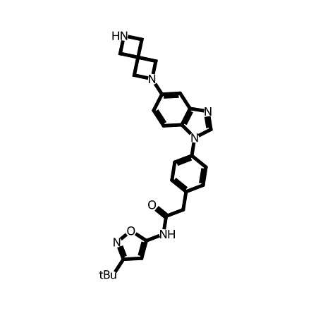 CC(C)(C)c1cc(NC(=O)Cc2ccc(-n3cnc4cc(N5CC6(CNC6)C5)ccc43)cc2)on1